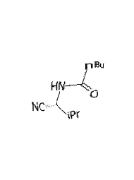 CCCCC(=O)N[C@@H](C#N)C(C)C